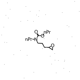 CCCOC(=O)N(CCC)CCCC1CO1